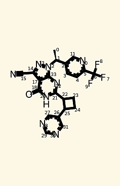 C[C@@H](c1ccc(C(F)(F)F)nc1)n1nc(C#N)c2c(=O)[nH]c(C3CCC3c3cncnc3)nc21